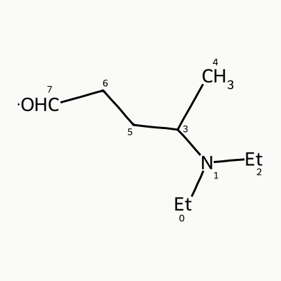 CCN(CC)C(C)CC[C]=O